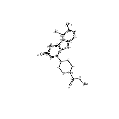 Cc1ccc2nn3c(C4CCN(C(=O)OC(C)(C)C)CC4)cc(=O)[nH]c3c2c1Br